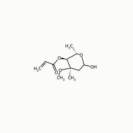 C=CC(=O)O[C@H]1[C@H](C)OC(O)C[C@@]1(C)OC